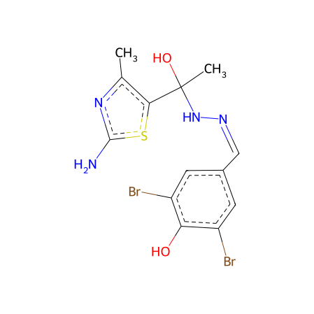 Cc1nc(N)sc1C(C)(O)N/N=C\c1cc(Br)c(O)c(Br)c1